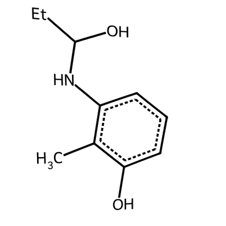 CCC(O)Nc1cccc(O)c1C